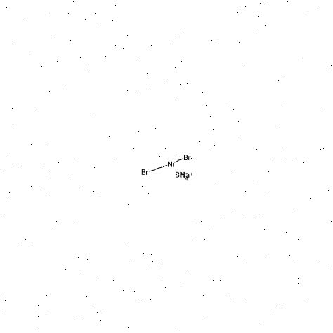 [BH4-].[Br][Ni][Br].[Na+]